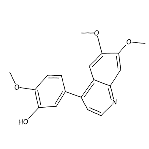 COc1ccc(-c2ccnc3cc(OC)c(OC)cc23)cc1O